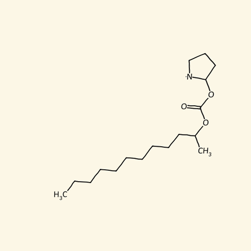 CCCCCCCCCCC(C)OC(=O)OC1CCC[N]1